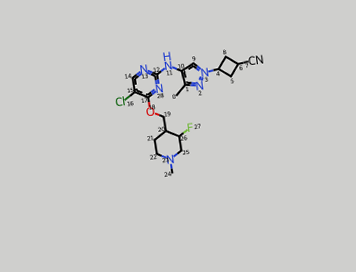 Cc1nn(C2CC(C#N)C2)cc1Nc1ncc(Cl)c(OCC2CCN(C)CC2F)n1